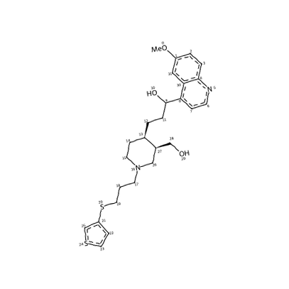 COc1ccc2nccc(C(O)CC[C@@H]3CCN(CCCSc4ccsc4)C[C@@H]3CO)c2c1